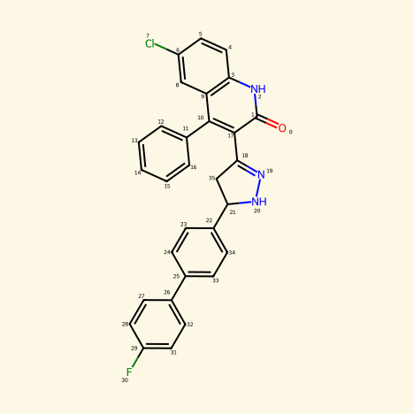 O=c1[nH]c2ccc(Cl)cc2c(-c2ccccc2)c1C1=NNC(c2ccc(-c3ccc(F)cc3)cc2)C1